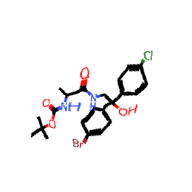 CC(NC(=O)OC(C)(C)C)C(=O)NCC(O)(c1ccc(Cl)cc1)c1ccc(Br)cc1